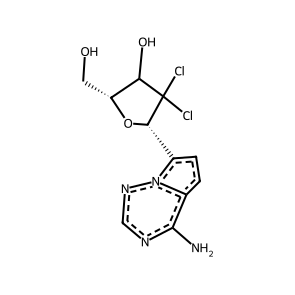 Nc1ncnn2c([C@@H]3O[C@H](CO)C(O)C3(Cl)Cl)ccc12